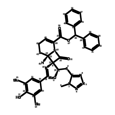 CO[C@H](Sc1nnnn1C)[C@@]1(N=Cc2cc(C(C)(C)C)c(O)c(C(C)(C)C)c2)C(=O)N2C(C(=O)OC(c3ccccc3)c3ccccc3)=CCS[C@H]21